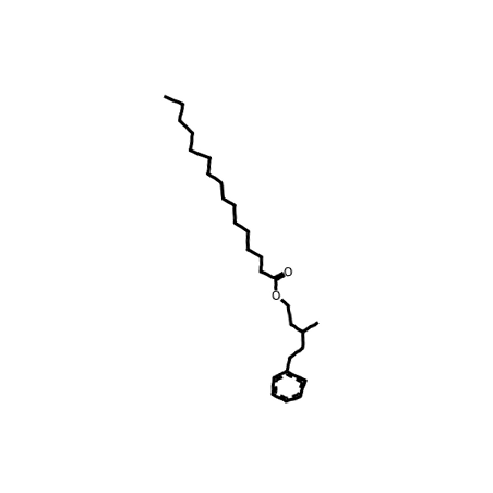 CCCCCCCCCCCCCCCC(=O)OCCC(C)CCc1ccccc1